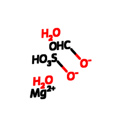 O.O.O=C[O-].O=S(=O)([O-])O.[Mg+2]